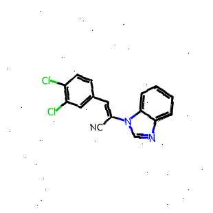 N#CC(=Cc1ccc(Cl)c(Cl)c1)n1cnc2ccccc21